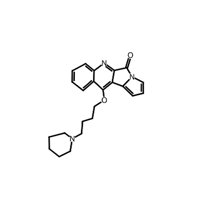 O=C1c2nc3ccccc3c(OCCCCN3CCCCC3)c2-c2cccn21